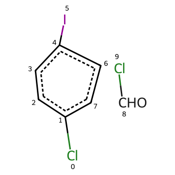 Clc1ccc(I)cc1.O=CCl